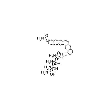 Cc1cccc2cc3ccc4cc5cc6ccccc6cc5cc4c3cc12.NC(=O)O.NC(=O)O.NC(=O)O.NC(=O)O.NC(=O)O